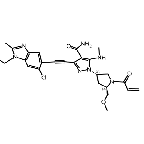 C=CC(=O)N1C[C@@H](n2nc(C#Cc3cc4nc(C)n(CC)c4cc3Cl)c(C(N)=O)c2NC)C[C@@H]1COC